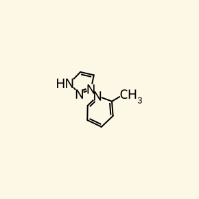 Cc1ccccn1.c1c[nH]nn1